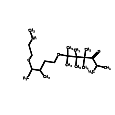 CNCCOC(C)C(C)CCOC(C)(C)C(C)(C)C(C)(C)C(=O)C(C)C